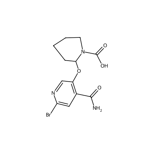 NC(=O)c1cc(Br)ncc1OC1CCCCN1C(=O)O